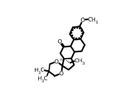 CC[C@]12CC(=O)C3c4ccc(OC)cc4CCC3C1CCC21OCC(C)(C)CO1